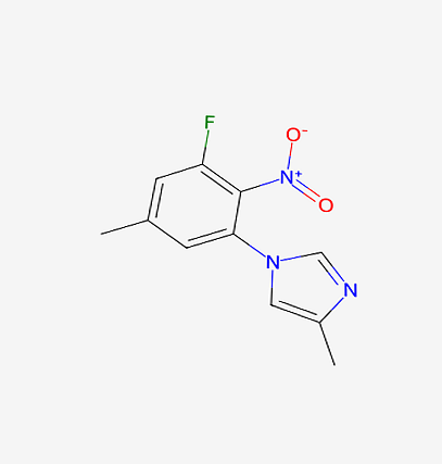 Cc1cc(F)c([N+](=O)[O-])c(-n2cnc(C)c2)c1